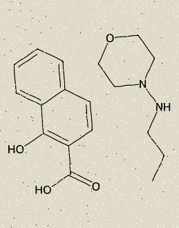 CCCNN1CCOCC1.O=C(O)c1ccc2ccccc2c1O